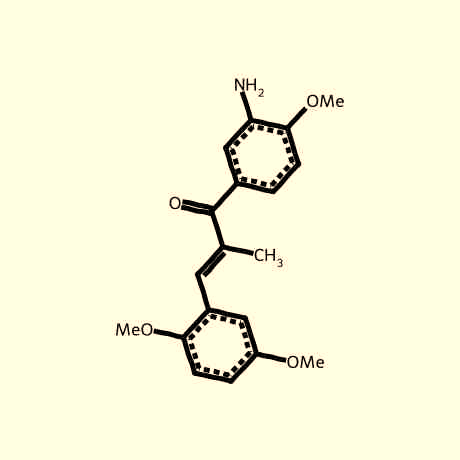 COc1ccc(OC)c(/C=C(\C)C(=O)c2ccc(OC)c(N)c2)c1